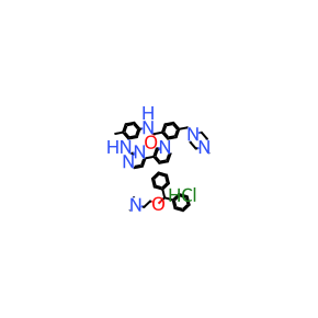 CN(C)CCOC(c1ccccc1)c1ccccc1.Cc1ccc(NC(=O)c2ccc(CN3CCN(C)CC3)cc2)cc1Nc1nccc(-c2cccnc2)n1.Cl